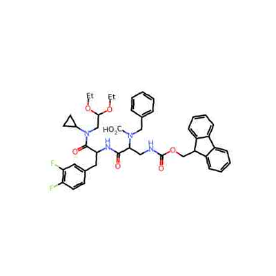 CCOC(CN(C(=O)C(Cc1ccc(F)c(F)c1)NC(=O)C(CNC(=O)OCC1c2ccccc2-c2ccccc21)N(Cc1ccccc1)C(=O)O)C1CC1)OCC